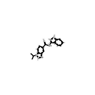 CC(C)n1nnc2cc(C(=O)Nc3noc4ccccc34)ccc21